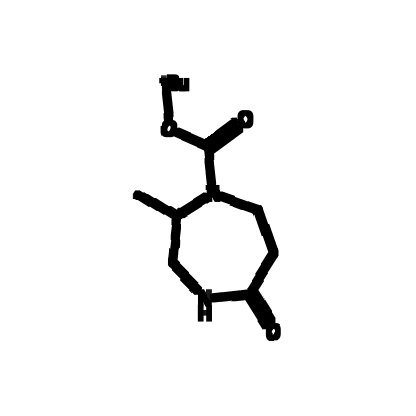 CC1CNC(=O)CCN1C(=O)OC(C)(C)C